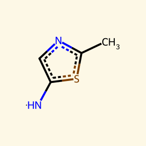 Cc1ncc([NH])s1